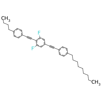 CCCCCCCCCc1ccc(C#Cc2cc(F)c(C#Cc3ccc(CCCC)cc3)c(F)c2)cc1